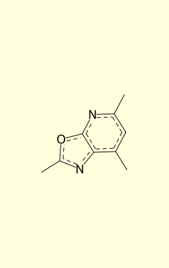 Cc1cc(C)c2nc(C)oc2n1